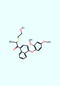 CCCOc1ccc(Oc2ccc(C(=O)C(SCCOCC)C(C)(C)C)c3ccccc23)c(OCCC)c1